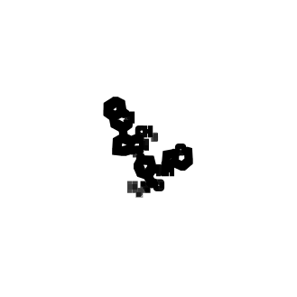 Cc1nn(-c2ccc(C(N)=O)c(NC3CC4OCCCC34)c2)c2cccc(-c3cnc4ccccc4c3)c12